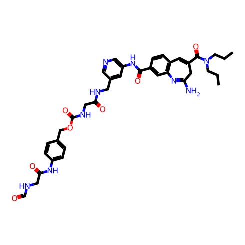 CCCN(CCC)C(=O)C1=Cc2ccc(C(=O)Nc3cncc(CNC(=O)CNC(=O)OCc4ccc(NC(=O)CNC=O)cc4)c3)cc2N=C(N)C1